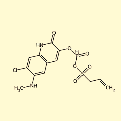 C=CCS(=O)(=O)O[PH](=O)Oc1cc2cc(NC)c(Cl)cc2[nH]c1=O